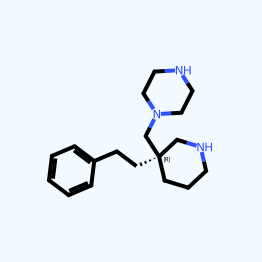 c1ccc(CC[C@@]2(CN3CCNCC3)CCCNC2)cc1